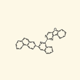 c1ccc2c(-c3ncc4oc5ccccc5c4n3)nc(-c3ccc4c(ccc5ccccc54)c3)cc2c1